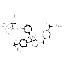 COC(=O)C1CCC(C(=O)N2CCC(c3ccc(C(F)(C(F)(F)F)C(F)(F)F)cc3)(S(=O)(=O)c3cccc(B4OC(C)(C)C(C)(C)O4)c3)C2)CC1